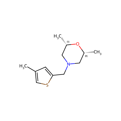 Cc1csc(CN2C[C@@H](C)O[C@@H](C)C2)c1